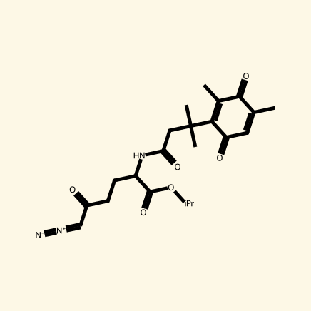 CC1=CC(=O)C(C(C)(C)CC(=O)NC(CCC(=O)C=[N+]=[N-])C(=O)OC(C)C)=C(C)C1=O